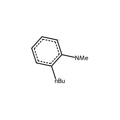 CCCCc1ccc[c]c1NC